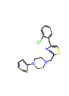 Clc1ccccc1-c1csc(CN2CCN(c3ccccc3)CC2)n1